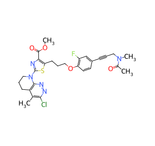 COC(=O)c1nc(N2CCCc3c2nnc(Cl)c3C)sc1CCCOc1ccc(C#CCN(C)C(C)=O)cc1F